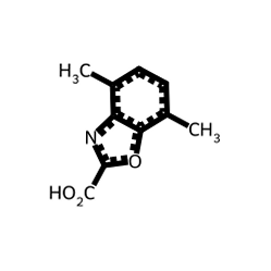 Cc1ccc(C)c2oc(C(=O)O)nc12